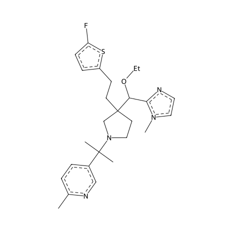 CCOC(c1nccn1C)C1(CCc2ccc(F)s2)CCN(C(C)(C)c2ccc(C)nc2)C1